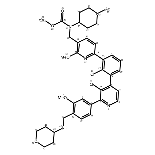 COc1cc(-c2nccc(-c3cccc(-c4ccc(CN(C(=O)OC(C)(C)C)C5CCN(C(C)=O)CC5)c(OC)n4)c3Cl)c2Cl)ccc1CNC1CCOCC1